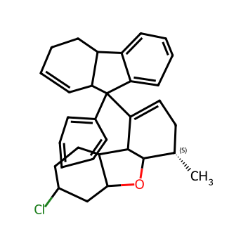 C[C@H]1CC=C(C2(c3ccccc3)c3ccccc3C3CCC=CC32)C2C3CCC(Cl)CC3OC21